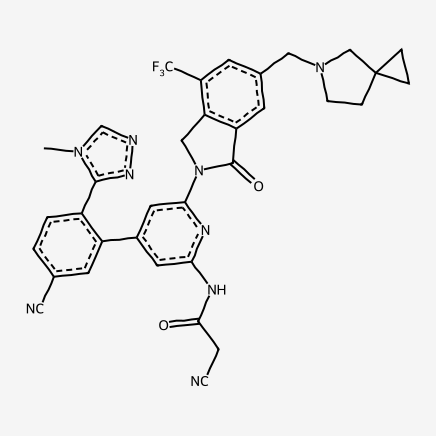 Cn1cnnc1-c1ccc(C#N)cc1-c1cc(NC(=O)CC#N)nc(N2Cc3c(cc(CN4CCC5(CC5)C4)cc3C(F)(F)F)C2=O)c1